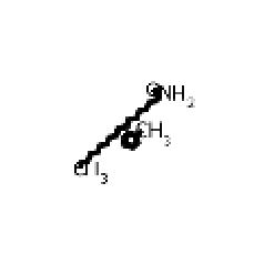 CCCCCCCCC=CCCCCCCCC(N)=O.Cc1ccccc1